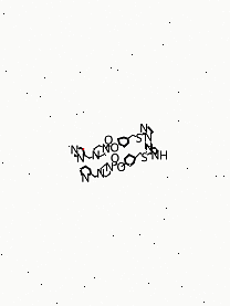 O=C(Oc1ccc(CSc2ncc[nH]2)cc1)N1CCN(Cc2ccccn2)CC1.O=C(Oc1ccc(CSc2ncc[nH]2)cc1)N1CCN(Cc2ccncn2)CC1